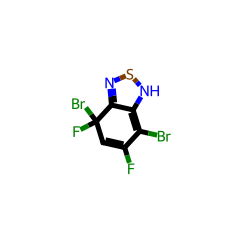 FC1=CC(F)(Br)C2=NSNC2=C1Br